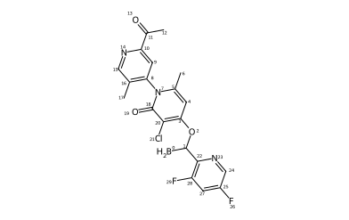 BC(Oc1cc(C)n(-c2cc(C(C)=O)ncc2C)c(=O)c1Cl)c1ncc(F)cc1F